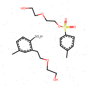 Cc1ccc(S(=O)(=O)O)c(CCOCCO)c1.Cc1ccc(S(=O)(=O)OCCOCCO)cc1